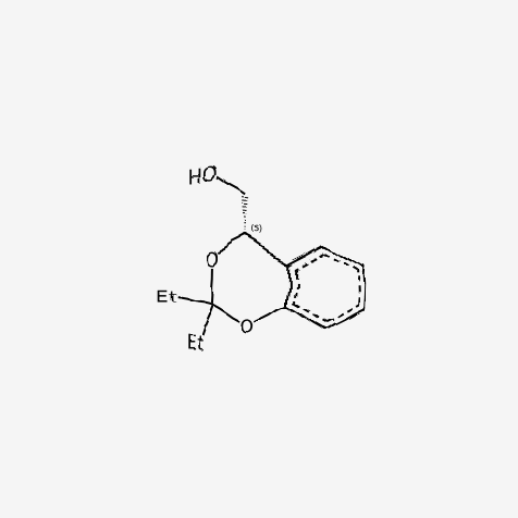 CCC1(CC)Oc2ccccc2[C@@H](CO)O1